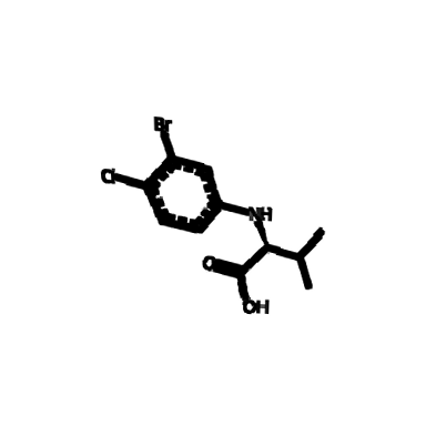 CC(C)[C@H](Nc1ccc(Cl)c(Br)c1)C(=O)O